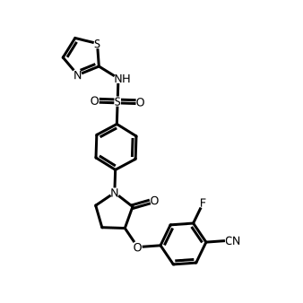 N#Cc1ccc(OC2CCN(c3ccc(S(=O)(=O)Nc4nccs4)cc3)C2=O)cc1F